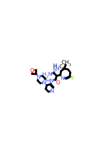 CC[C@]1(C)CCC(F)=C=NC(C(C(=O)NC2=C=NCC[C@H]2N2CCN(C3COC3)CC2)C(N)N)C1